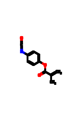 C=C(C)C(=O)Oc1ccc(N=C=O)cc1